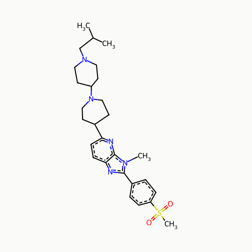 CC(C)CN1CCC(N2CCC(c3ccc4nc(-c5ccc(S(C)(=O)=O)cc5)n(C)c4n3)CC2)CC1